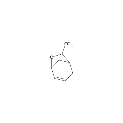 ClC(Cl)(Cl)C1OC2C=CCC1C2